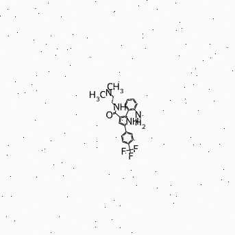 CN(C)CCNC(=O)c1cc(-c2ccc(C(F)(F)F)cc2)[nH]c1-c1ccccc1N